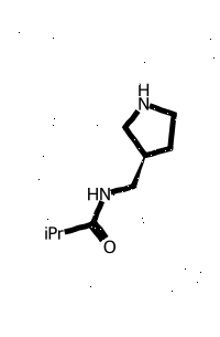 CC(C)C(=O)NC[C@@H]1CCNC1